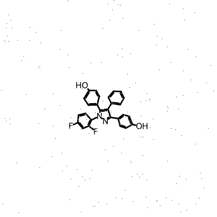 Oc1ccc(-c2nn(-c3ccc(F)cc3F)c(-c3ccc(O)cc3)c2-c2ccccc2)cc1